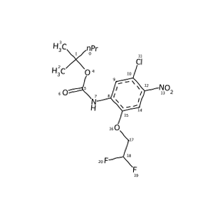 CCCC(C)(C)OC(=O)Nc1cc(Cl)c([N+](=O)[O-])cc1OCC(F)F